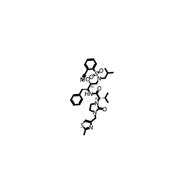 Cc1nc(CN2CCN([C@H](C(=O)N[C@@H](Cc3ccccc3)[C@@H](O)CN(CC(C)C)S(=O)(=O)c3ccccc3C#N)C(C)C)C2=O)cs1